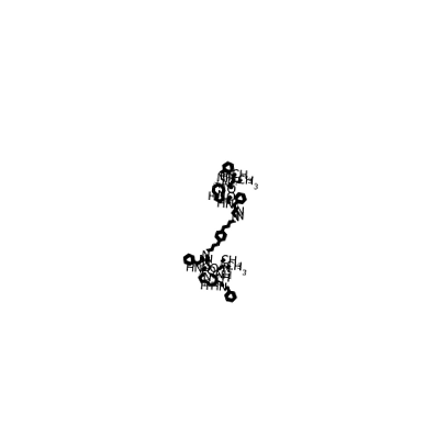 CC[C@H](NC)C(=O)N[C@@H]1C(=O)N2[C@@H](CC[C@@H]1CNCc1ccccc1)CC[C@H]2C(=O)N[C@@H](c1ccccc1)c1cn(CCCCc2ccc(CCCCn3cc([C@@H](NC(=O)[C@@H]4CC[C@@H]5CC[C@H](CNCc6ccccc6)[C@H](NC(=O)[C@H](CC)NC)CN54)c4ccccc4)nn3)cc2)nn1